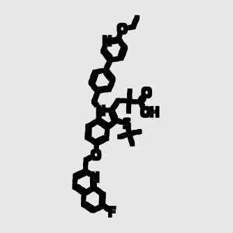 CCOc1ccc(-c2ccc(Cn3c(CC(C)(C)C(=O)O)c(SC(C)(C)C)c4cc(OCc5ccc6ccc(F)cc6n5)ccc43)cc2)cn1